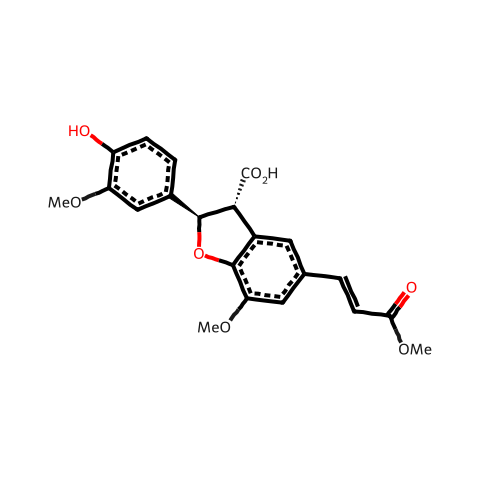 COC(=O)/C=C/c1cc(OC)c2c(c1)[C@@H](C(=O)O)[C@H](c1ccc(O)c(OC)c1)O2